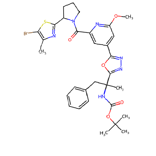 COc1cc(-c2nnc(C(C)(Cc3ccccc3)NC(=O)OC(C)(C)C)o2)cc(C(=O)N2CCCC2c2nc(C)c(Br)s2)n1